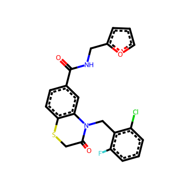 O=C(NCc1ccco1)c1ccc2c(c1)N(Cc1c(F)cccc1Cl)C(=O)CS2